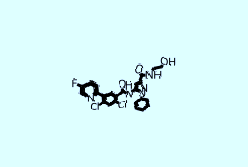 O=C(NCCO)c1cc(NC(=O)c2cc(-c3ccc(F)cn3)c(Cl)cc2Cl)n(-c2ccccc2)n1